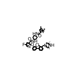 Cc1cc(C(=O)N[C@H]2CC[C@H](NC(=O)c3cc(F)cnc3Oc3cccc(-c4cccc(CN5C[C@@H](C)N[C@@H](C)C5)c4Cl)c3)CC2)nn1C